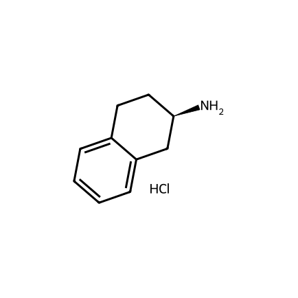 Cl.N[C@@H]1CCc2ccccc2C1